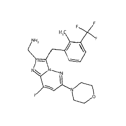 Cc1c(Cc2c(CN)nc3c(I)cc(N4CCOCC4)nn23)cccc1C(F)(F)F